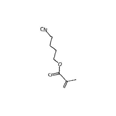 [C-]#[N+]CCCCOC(=O)C(=C)C